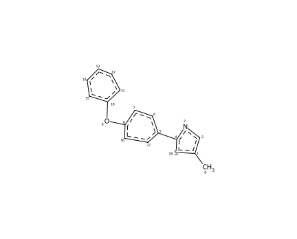 Cc1cnc(-c2ccc(Oc3ccccc3)cc2)s1